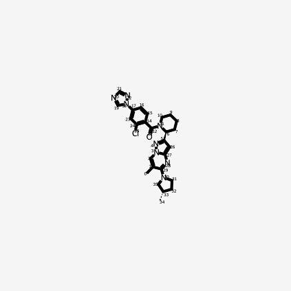 Cc1cn2nc([C@@H]3CCCCN3C(=O)c3ccc(-n4cncn4)cc3Cl)cc2nc1N1CC[C@H](C)C1